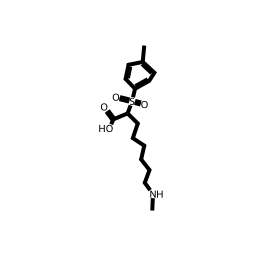 CNCCCCCCC(C(=O)O)S(=O)(=O)c1ccc(C)cc1